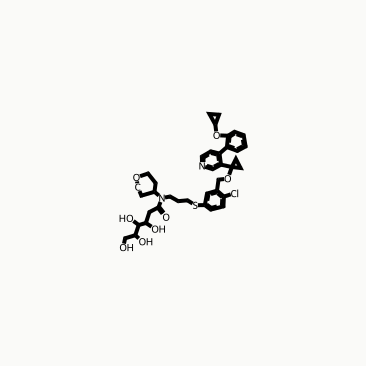 O=C(CC(O)C(O)C(O)CO)N(CCCSc1ccc(Cl)c(COC2(c3cnccc3-c3ccccc3OC3CC3)CC2)c1)C1CCOCC1